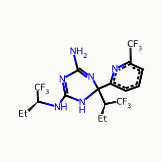 CC[C@H](NC1=NC(N)=NC(c2cccc(C(F)(F)F)n2)([C@H](CC)C(F)(F)F)N1)C(F)(F)F